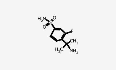 CC(C)(N)c1ccc(S(N)(=O)=O)cc1F